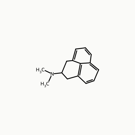 CN(C)C1Cc2cccc3cccc(c23)C1